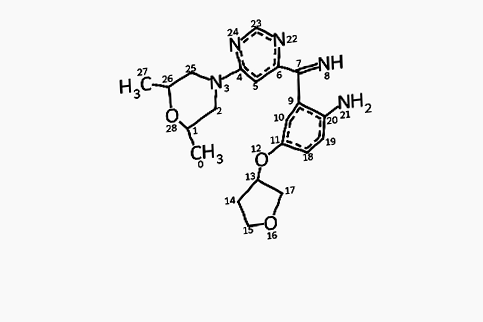 CC1CN(c2cc(C(=N)c3cc(OC4CCOC4)ccc3N)ncn2)CC(C)O1